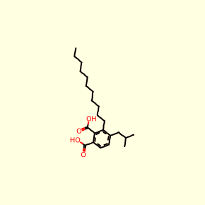 CCCCCCCCCCCc1c(CC(C)C)ccc(C(=O)O)c1C(=O)O